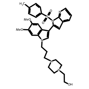 COc1cc2c(-c3cc4cccnc4n3S(=O)(=O)c3ccc(C)cc3)cn(CCCN3CCN(CCO)CC3)c2cc1OC